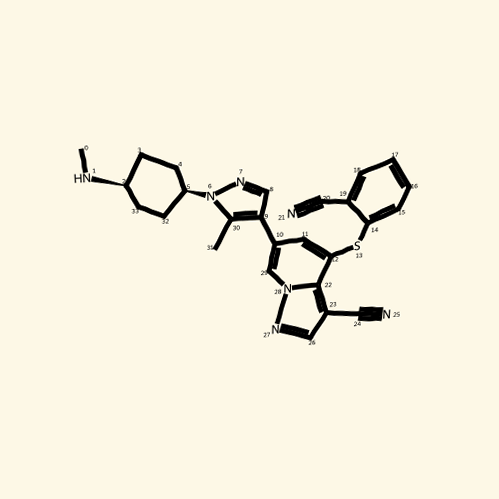 CN[C@H]1CC[C@@H](n2ncc(-c3cc(Sc4ccccc4C#N)c4c(C#N)cnn4c3)c2C)CC1